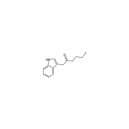 O=C(CCCI)Cc1c[nH]c2ccccc12